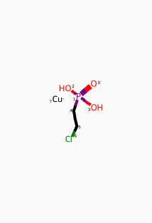 O=P(O)(O)CCCl.[Cu]